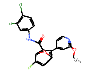 COc1cc(-c2c(C(=O)Nc3ccc(Cl)c(Cl)c3)c3oc2cc3F)ccn1